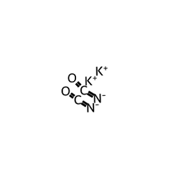 [K+].[K+].[N-]=C=O.[N-]=C=O